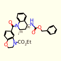 CCOC(=O)N1CCOc2ccc(C(=O)N3c4ccccc4[C@H](NC(=O)OCc4ccccc4)C[C@@H]3C)cc21